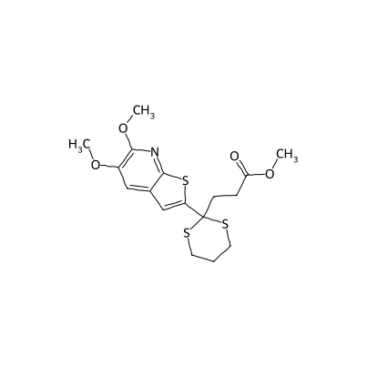 COC(=O)CCC1(c2cc3cc(OC)c(OC)nc3s2)SCCCS1